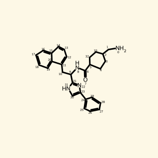 NCC1CCC(C(=O)NC(Cc2cccc3ccccc23)c2nc(-c3ccccc3)c[nH]2)CC1